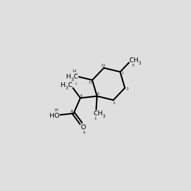 CC1CCC(C)(C(C)C(=O)O)C(C)C1